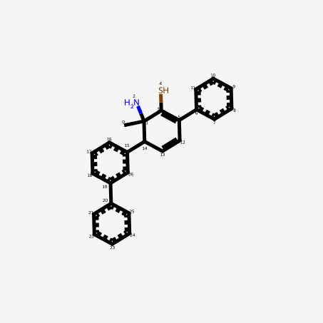 CC1(N)C(S)=C(c2ccccc2)C=CC1c1cccc(-c2ccccc2)c1